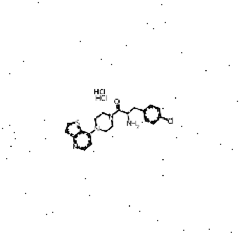 Cl.Cl.N[C@H](Cc1ccc(Cl)cc1)C(=O)N1CCN(c2ccnc3ccsc23)CC1